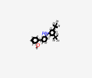 COc1ccccc1-c1cccc(Nc2cc(C(C)(C)C)cc(C(C)(C)C)c2)c1